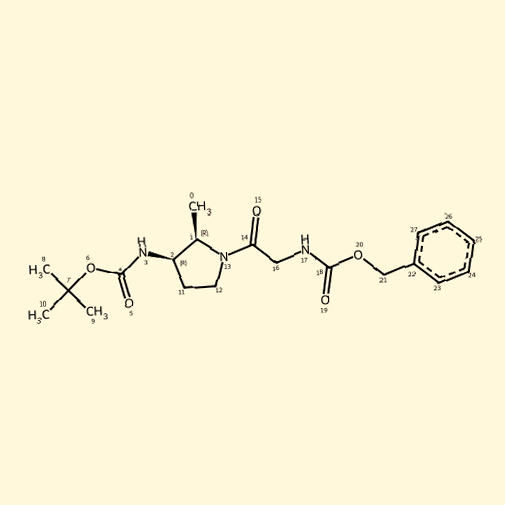 C[C@@H]1[C@H](NC(=O)OC(C)(C)C)CCN1C(=O)CNC(=O)OCc1ccccc1